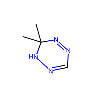 CC1(C)N=NC=NN1